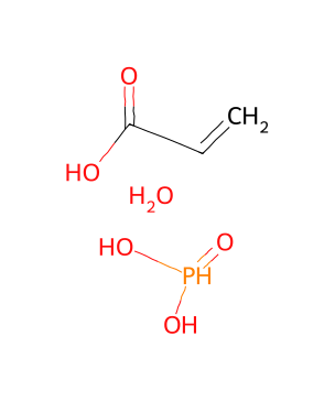 C=CC(=O)O.O.O=[PH](O)O